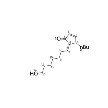 CCCCC1C=CC(=O)/C1=C\CCCCCCO